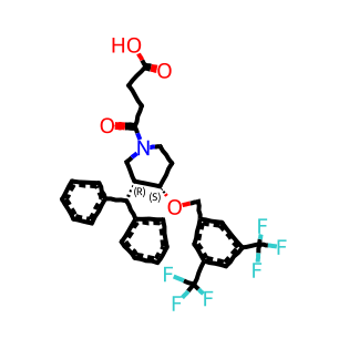 O=C(O)CCC(=O)N1CC[C@H](OCc2cc(C(F)(F)F)cc(C(F)(F)F)c2)[C@H](C(c2ccccc2)c2ccccc2)C1